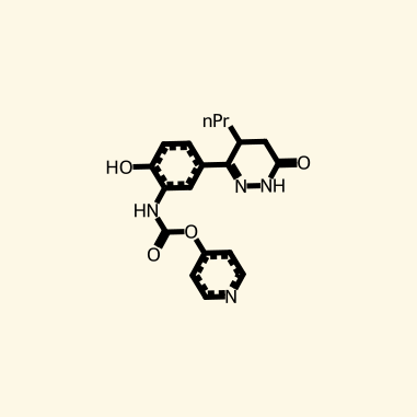 CCCC1CC(=O)NN=C1c1ccc(O)c(NC(=O)Oc2ccncc2)c1